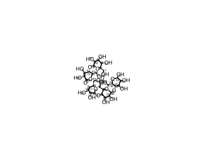 OC[C@H]1O[C@H](O[C@H]2[C@H](O)[C@@H](O)[C@@H](O[C@H]3[C@H](O)[C@@H](O)[C@@H](O[C@H]4[C@H](O)[C@@H](O)[C@@H](O[C@H]5[C@H](O)[C@@H](O)C(O)O[C@@H]5CO)O[C@@H]4CO)O[C@@H]3CO)O[C@@H]2CO)[C@H](O)[C@@H](O)[C@@H]1O